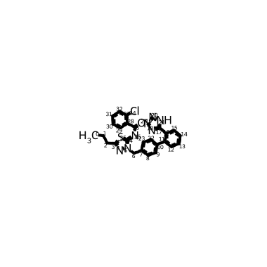 CCCc1nn(Cc2ccc(-c3ccccc3-c3nnn[nH]3)cc2)c(=NC(=O)c2ccccc2Cl)s1